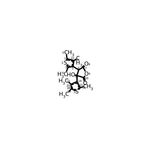 Cc1sc(C)c(C2C(=O)OC(=O)C2(O)c2c(C)sc(C)c2C)c1C